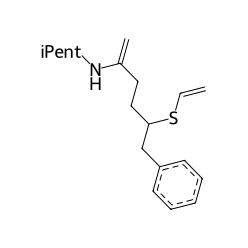 C=CSC(CCC(=C)NC(C)CCC)Cc1ccccc1